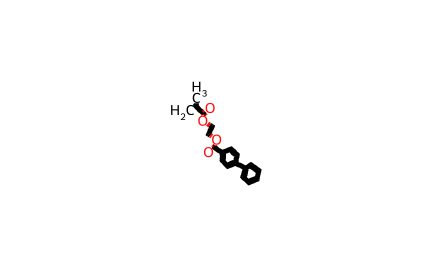 C=C(C)C(=O)OCCOC(=O)c1ccc(-c2ccccc2)cc1